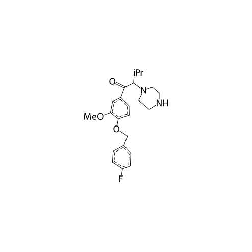 COc1cc(C(=O)C(C(C)C)N2CCNCC2)ccc1OCc1ccc(F)cc1